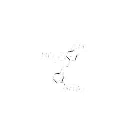 CC(=O)Nc1cccc(CCc2ccc(C)cc2C(=O)O)c1